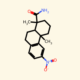 CC1(C(N)=O)CCCC2(C)c3cc([N+](=O)[O-])ccc3CCC12